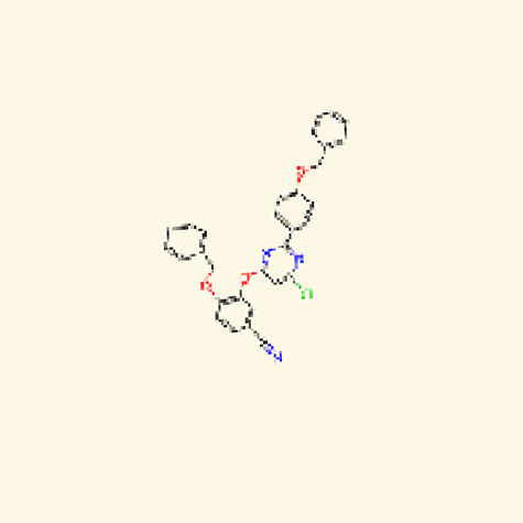 N#Cc1ccc(OCc2ccccc2)c(Oc2cc(Cl)nc(-c3ccc(OCc4ccccc4)cc3)n2)c1